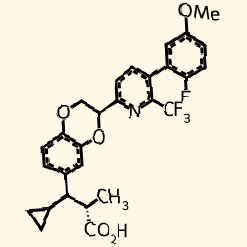 COc1ccc(F)c(-c2ccc([C@@H]3COc4ccc(C(C5CC5)[C@H](C)C(=O)O)cc4O3)nc2C(F)(F)F)c1